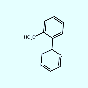 O=C(O)c1ccccc1C1CN=CC=N1